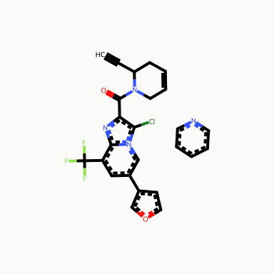 C#CC1CC=CCN1C(=O)c1nc2c(C(F)(F)F)cc(-c3ccoc3)cn2c1Cl.c1ccncc1